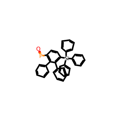 O=Pc1ccc([Si](c2ccccc2)(c2ccccc2)c2ccccc2)c(-c2ccccc2)c1-c1ccccc1